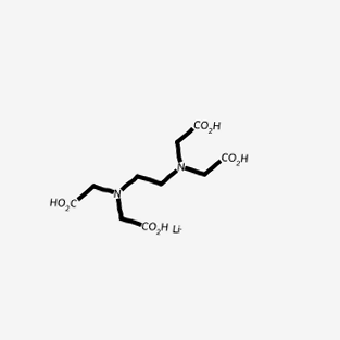 O=C(O)CN(CCN(CC(=O)O)CC(=O)O)CC(=O)O.[Li]